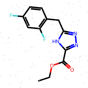 CCOC(=O)c1nnc(Cc2ccc(F)cc2F)[nH]1